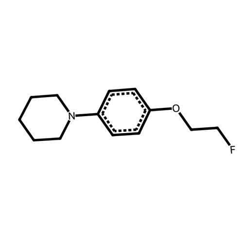 FCCOc1ccc(N2CCCCC2)cc1